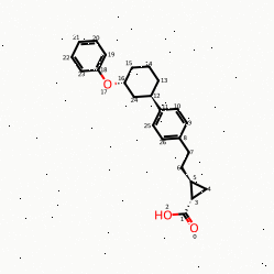 O=C(O)[C@H]1C[C@@H]1CCc1ccc([C@@H]2CCC[C@@H](Oc3ccccc3)C2)cc1